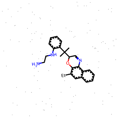 CCc1cc2ccccc2c2c1OC(C(C)(C)c1ccccc1NCCN)C=N2